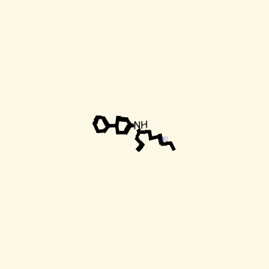 C=CCC(CC/C=C/CC)NC1=CCC(C2=CC=CCC2)C=C1